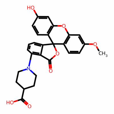 COc1ccc2c(c1)Oc1cc(O)ccc1C21OC(=O)c2c(N3CCC(C(=O)O)CC3)cccc21